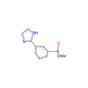 COC(=O)c1cccc(-c2ncc[nH]2)c1